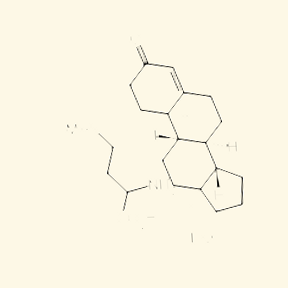 CSCCC(N)C(=O)O.C[C@]12CC[C@H]3[C@@H](CCC4=CC(=O)CC[C@@]43C)[C@@H]1CC[C@@H]2O